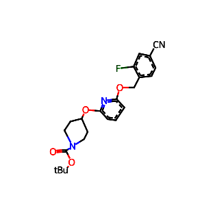 CC(C)(C)OC(=O)N1CCC(Oc2cccc(OCc3ccc(C#N)cc3F)n2)CC1